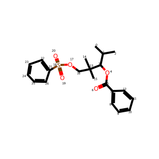 CC(C)C(OC(=O)c1ccccc1)C(C)(C)COS(=O)(=O)c1ccccc1